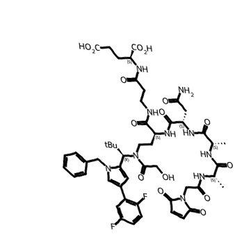 C[C@H](NC(=O)CN1C(=O)C=CC1=O)C(=O)N[C@@H](C)C(=O)N[C@@H](CC(N)=O)C(=O)N[C@@H](CCN(C(=O)CO)[C@@H](c1cc(-c2cc(F)ccc2F)cn1Cc1ccccc1)C(C)(C)C)C(=O)NCCC(=O)N[C@@H](CCC(=O)O)C(=O)O